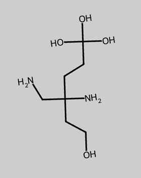 NCC(N)(CCO)CCC(O)(O)O